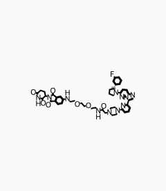 O=C(CN1CCN(c2cccc(-c3cnc4ccc(N5CCC[C@@H]5c5cccc(F)c5)nn34)n2)CC1)NCCOCCOCCNc1ccc2c(c1)C(=O)N(C1CCC(=O)NC1=O)C2=O